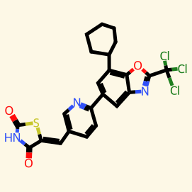 O=C1NC(=O)C(=Cc2ccc(-c3cc(C4CCCCC4)c4oc(C(Cl)(Cl)Cl)nc4c3)nc2)S1